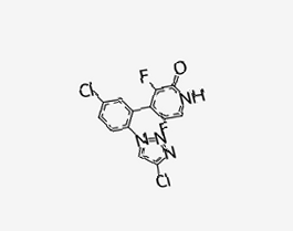 O=c1[nH]cc(F)c(-c2cc(Cl)ccc2-n2cc(Cl)nn2)c1F